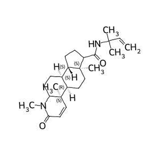 C=CC(C)(C)NC(=O)C1CC[C@H]2[C@@H]3CCC4N(C)C(=O)C=C[C@]4(C)[C@@H]3CC[C@]12C